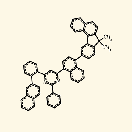 CC1(C)c2ccc(-c3ccc(-c4cc(-c5ccccc5-c5ccc6ccccc6c5)nc(-c5ccccc5)n4)c4ccccc34)cc2-c2c1ccc1ccccc21